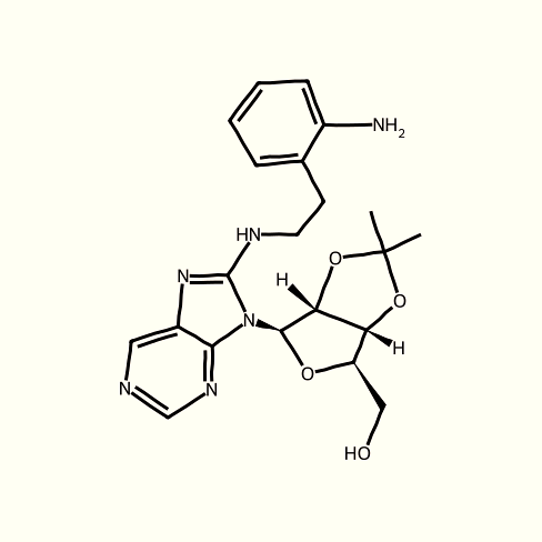 CC1(C)O[C@@H]2[C@H](O1)[C@@H](CO)O[C@H]2n1c(NCCc2ccccc2N)nc2cncnc21